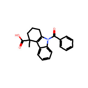 CC1(C(=O)O)CCCc2c1c1ccccc1n2C(=O)c1ccccc1